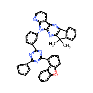 CC1(C)c2ccccc2-c2nc3c4cccnc4n(-c4cccc(-c5nc(-c6ccccc6)nc(-c6cccc7oc8ccccc8c67)n5)c4)c3nc21